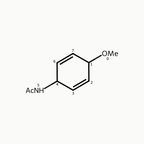 COC1C=CC(NC(C)=O)C=C1